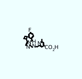 Cc1cc(C(=O)O)cc(CNCc2ncc(C3CCC3)n2Cc2ccc(F)cc2)n1